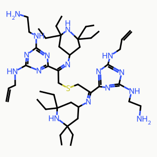 C=CCNc1nc(NCCN)nc(C(CSCC(=NC2CC(CC)(CC)NC(CC)(CC)C2)c2nc(NCC=C)nc(NCCN)n2)=NC2CC(CC)(CC)NC(CC)(CC)C2)n1